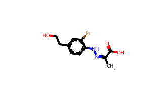 CC(=NNc1ccc(CCO)cc1Br)C(=O)O